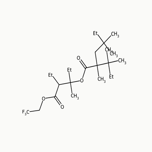 CCC(C(=O)OCC(F)(F)F)C(C)(CC)OC(=O)C(C)(CC(C)(C)CC)C(C)(C)CC